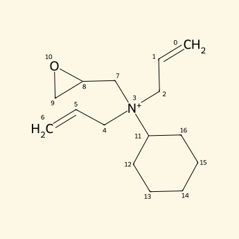 C=CC[N+](CC=C)(CC1CO1)C1CCCCC1